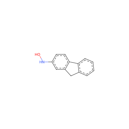 ONc1ccc2c(c1)Cc1ccccc1-2